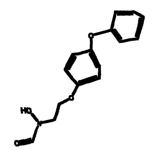 O=CN(O)CCOc1ccc(Oc2ccccc2)cc1